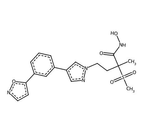 CC(CCn1cc(-c2cccc(-c3ccno3)c2)cn1)(C(=O)NO)S(C)(=O)=O